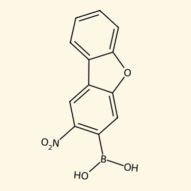 O=[N+]([O-])c1cc2c(cc1B(O)O)oc1ccccc12